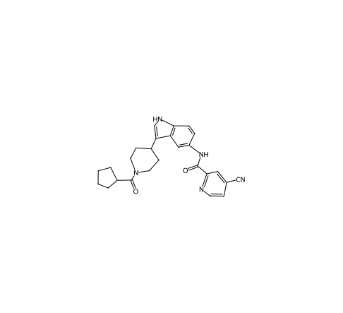 N#Cc1ccnc(C(=O)Nc2ccc3[nH]cc(C4CCN(C(=O)C5CCCC5)CC4)c3c2)c1